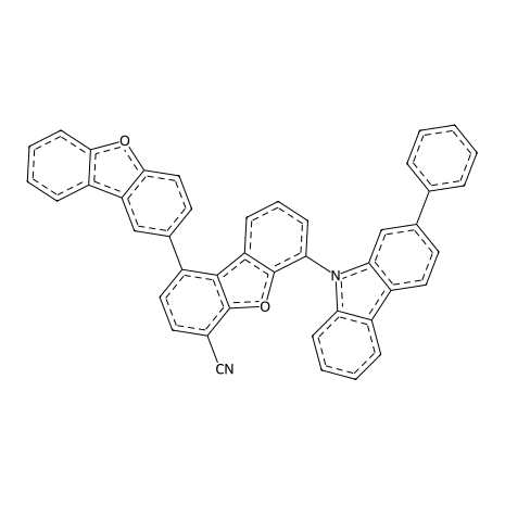 N#Cc1ccc(-c2ccc3oc4ccccc4c3c2)c2c1oc1c(-n3c4ccccc4c4ccc(-c5ccccc5)cc43)cccc12